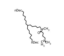 CCCCCCCCCCCCCCCCC(CCCCCCCCCCCCCCCC)CCCCCN(C)C(=O)CCCN(C)C